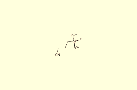 CCC[Si](F)(CCC)CCCC#N